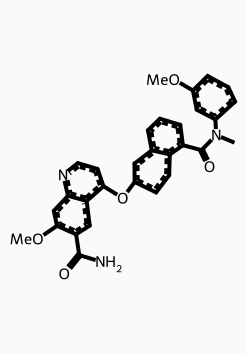 COc1cccc(N(C)C(=O)c2cccc3cc(Oc4ccnc5cc(OC)c(C(N)=O)cc45)ccc23)c1